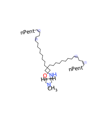 CCCCC/C=C\C/C=C\CCCCCCCCC1(CCCCCCCC/C=C\C/C=C\CCCCC)CC2(C1)N[C@@H]1CN(C)C[C@H]1O2